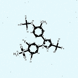 Cc1cc(-c2cc(C(F)(F)F)nn2-c2cc(F)c(S(C)(=O)=O)c(F)c2)ccc1OC(F)(F)F